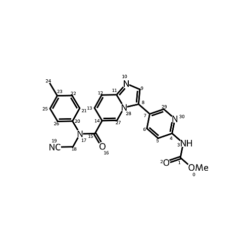 COC(=O)Nc1ccc(-c2cnc3ccc(C(=O)N(CC#N)c4ccc(C)cc4)cn23)cn1